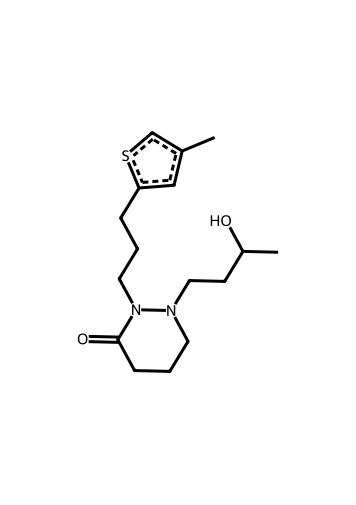 Cc1csc(CCCN2C(=O)CCCN2CCC(C)O)c1